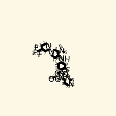 CN(C)[C@H]1CN(c2cc(C(F)(F)F)ccn2)CC[C@@H]1Nc1ccc(S(=O)(=O)N(OC=O)c2ccncn2)c(F)c1